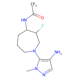 Cn1ncc(N)c1N1CCCC(NC(=O)C(F)(F)F)C(F)C1